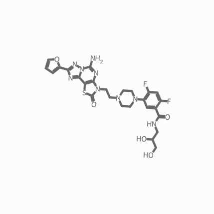 Nc1nc2c(sc(=O)n2CCN2CCN(c3cc(C(=O)NCC(O)CO)c(F)cc3F)CC2)c2nc(-c3ccco3)nn12